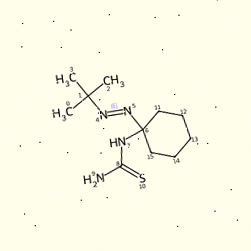 CC(C)(C)/N=N/C1(NC(N)=S)CCCCC1